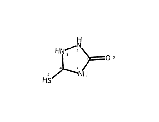 O=C1NNC(S)N1